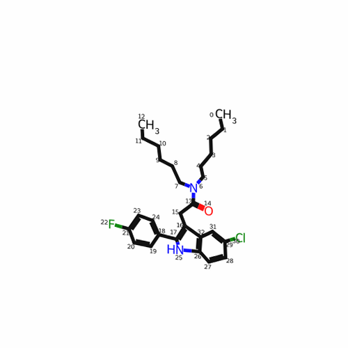 CCCCCCN(CCCCCC)C(=O)Cc1c(-c2ccc(F)cc2)[nH]c2ccc(Cl)cc12